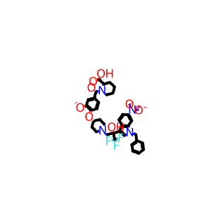 COc1cc(C(=O)N2CCCCC2C(=O)O)ccc1OC1CCN(CC(O)(c2cn(Cc3ccccc3)c3cc([N+](=O)[O-])ccc23)C(F)(F)F)CC1